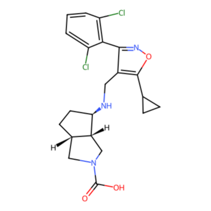 O=C(O)N1C[C@@H]2CC[C@@H](NCc3c(-c4c(Cl)cccc4Cl)noc3C3CC3)[C@@H]2C1